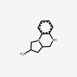 NC1CC2CNc3ccccc3N2C1